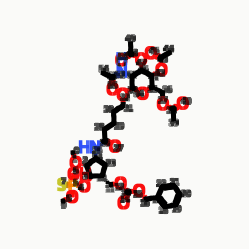 CO[C@H]1C(OP(O)(=S)OC)[C@@H](COC(=O)OCc2ccccc2)C[C@@H]1NC(=O)CCCCO[C@@H]1O[C@H](COC(C)=O)[C@H](OC(C)=O)[C@H](OC(C)=O)[C@H]1NC(C)=O